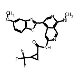 CNc1ncc(-c2nc3cc(OC)ccc3o2)c2cc(NC(=O)C3CC3C(F)(F)F)ncc12